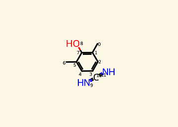 Cc1cccc(C)c1O.N=C=N